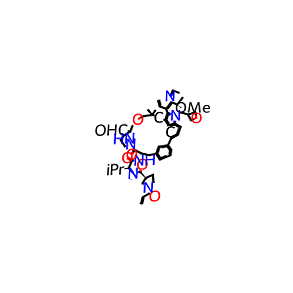 C=CC(=O)N1CC[C@H](C(=O)N(C)[C@H](C(=O)N[C@H]2Cc3cccc(c3)-c3ccc4c(c3)c(c(/C(C=C)=C(/N=C\C)[C@H](C)OC)n4CC3COC3)CC(C)(C)COC[C@@]3(C=O)CCCN(N3)C2=O)C(C)C)C1